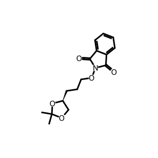 CC1(C)OC[C@H](CCCON2C(=O)c3ccccc3C2=O)O1